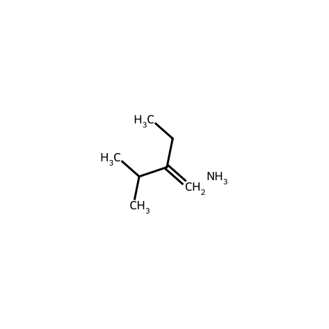 C=C(CC)C(C)C.N